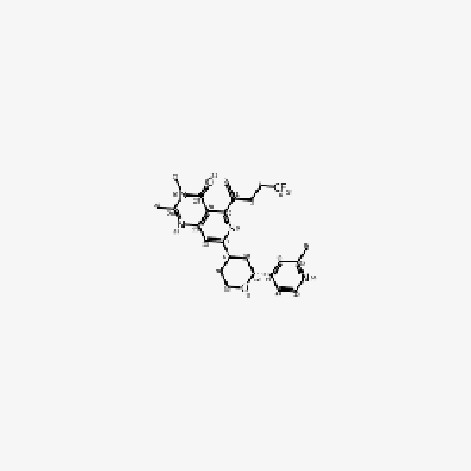 C=C(CCC(F)(F)F)c1nc([C@@H]2CCO[C@@H](c3ccnc(C)c3)C2)cc2nc(C)n(C)c(=O)c12